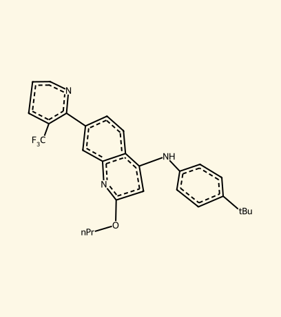 CCCOc1cc(Nc2ccc(C(C)(C)C)cc2)c2ccc(-c3ncccc3C(F)(F)F)cc2n1